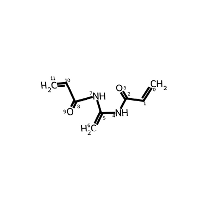 C=CC(=O)NC(=C)NC(=O)C=C